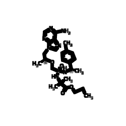 CCCOC(=O)C(C)(C)NP(=O)(CO[C@@H](C)Cn1cnc2c(N)ncnc21)N[C@H](C)c1ccc(C)cc1